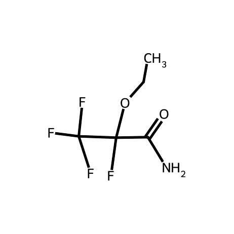 CCOC(F)(C(N)=O)C(F)(F)F